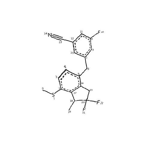 CSc1ccc(Cc2cc(F)cc(C#N)c2)c2c1C(C)C(F)(F)C2